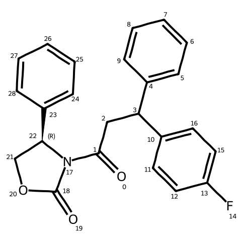 O=C(CC(c1ccccc1)c1ccc(F)cc1)N1C(=O)OC[C@H]1c1ccccc1